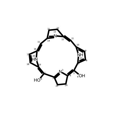 Oc1c2nc(c(O)c3ccc(cc4nc(cc5ccc1[nH]5)CC4)[nH]3)CC2